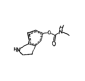 CNC(=O)Oc1ccc2c(c1)CCN2